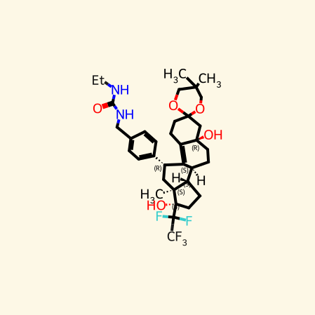 CCNC(=O)NCc1ccc([C@H]2C[C@@]3(C)[C@@H](CC[C@@]3(O)C(F)(F)C(F)(F)F)[C@@H]3CC[C@@]4(O)CC5(CCC4=C32)OCC(C)(C)CO5)cc1